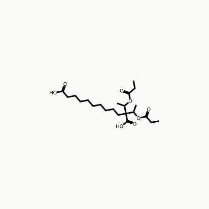 CCC(=O)OC(C)C(CCCCCCCCCC(=O)O)(C(=O)O)C(C)OC(=O)CC